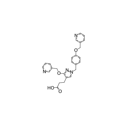 O=C(O)CCc1cn(Cc2ccc(OCc3cccnc3)cc2)nc1OCc1cccnc1